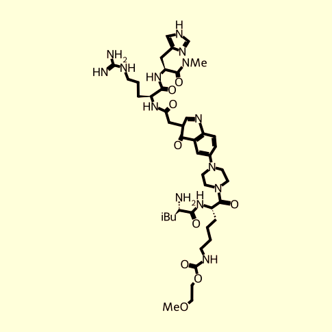 CC[C@H](C)[C@H](N)C(=O)N[C@@H](CCCCNC(=O)OCCOC)C(=O)N1CCN(c2ccc3c(c2)C(=O)C(CC(=O)N[C@@H](CCCNC(=N)N)C(=O)N[C@@H](Cc2c[nH]cn2)C(=O)NC)C=N3)CC1